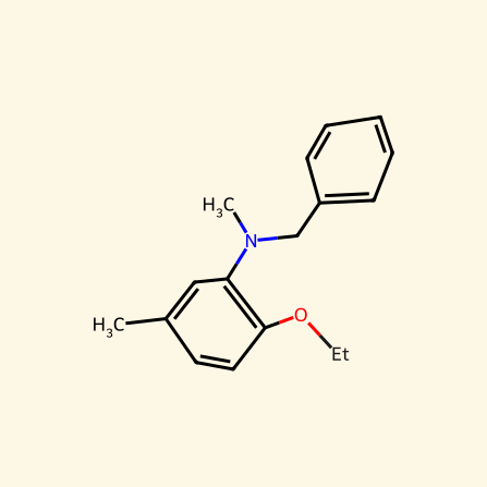 CCOc1ccc(C)cc1N(C)Cc1ccccc1